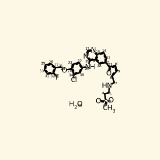 CS(=O)(=O)CCNCc1ccc(-c2ccc3ncnc(Nc4ccc(OCc5ccccc5F)c(Cl)c4)c3c2)o1.O